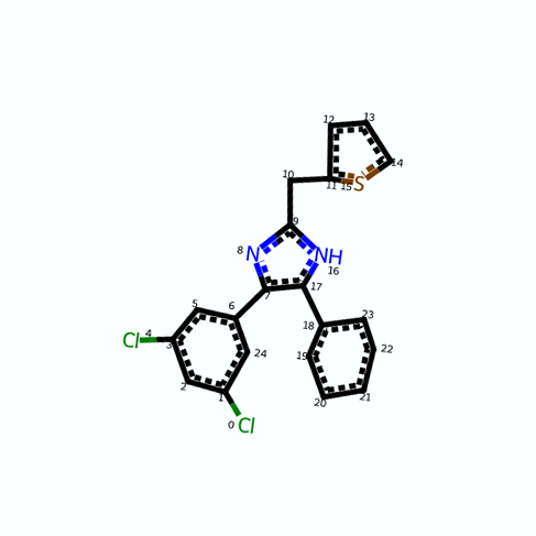 Clc1cc(Cl)cc(-c2nc(Cc3cccs3)[nH]c2-c2ccccc2)c1